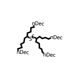 CCCCCCCCCCCCCCCC(CCCCCCCCCCCCCC)SSC(CCCCCCCCCCCCCC)CCCCCCCCCCCCCCC